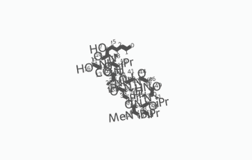 CC=CC[C@@H](C)[C@@H](O)[C@@H](C(=O)N[C@H](C(=O)O)[C@@H](C)O)N(C)C(=O)[C@H](C(C)C)N(C)C(=O)[C@H](CC(C)C)NC(=O)[C@H](CC(C)C)N(C)C(=O)[C@@H](C)NC(=O)[C@H](C)NC(=O)[C@H](CC(C)C)N(C)C(=O)[C@H](CC(C)C)NC(=O)[C@@H](NC)C(C)CC